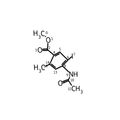 COC(=O)c1cc(I)c(NC(C)=O)cc1C